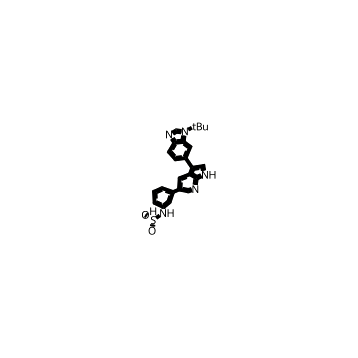 CC(C)(C)n1cnc2ccc(-c3c[nH]c4ncc(-c5cccc(N[SH](=O)=O)c5)cc34)cc21